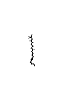 CC/C=C\C#CCCCCCCCCCCOC(C)=O